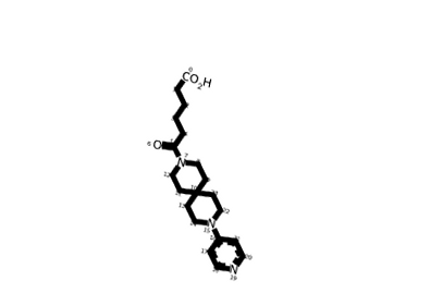 O=C(O)CCCCC(=O)N1CCC2(CC1)CCN(c1ccncc1)CC2